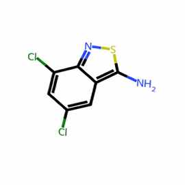 Nc1snc2c(Cl)cc(Cl)cc12